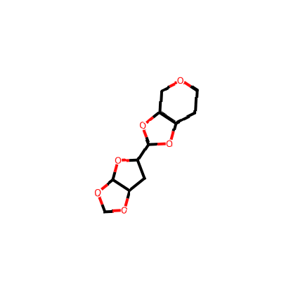 C1CC2OC(C3CC4OCOC4O3)OC2CO1